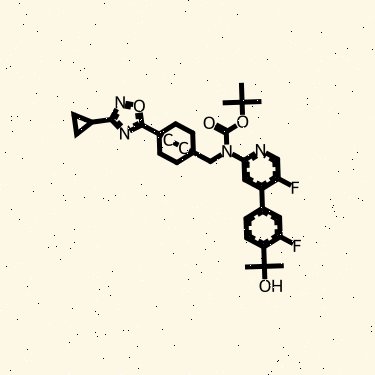 CC(C)(C)OC(=O)N(CC12CCC(c3nc(C4CC4)no3)(CC1)CC2)c1cc(-c2ccc(C(C)(C)O)c(F)c2)c(F)cn1